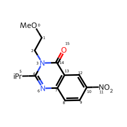 COCCn1c(C(C)C)nc2ccc([N+](=O)[O-])cc2c1=O